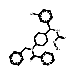 CC(C)(C)OC(=O)NC(c1cccc(Cl)c1)C1CCC(N(Cc2ccccc2)C(=O)c2cccnn2)CC1